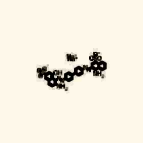 Nc1ccc2cc(S(=O)(=O)[O-])cc(O)c2c1N=Nc1ccc(-c2ccc(N=Nc3cc(S(=O)(=O)[O-])c4ccccc4c3N)cc2)cc1.[Na+].[Na+]